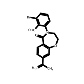 C=C(C)c1ccc2c(c1)OCCN(c1cccc(Br)c1C=O)C2=O